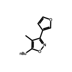 CCCCc1onc(-c2ccoc2)c1C